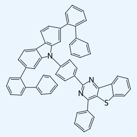 c1ccc(-c2ccccc2-c2ccc3c4ccc(-c5ccccc5-c5ccccc5)cc4n(-c4ccc(-c5nc(-c6ccccc6)c6sc7ccccc7c6n5)cc4)c3c2)cc1